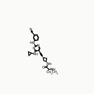 CN[C@@H](C)C(=O)N[C@H]1C[C@@H](C#Cc2cnc(Nc3cccc(C#N)c3)nc2NC2CC2)C1